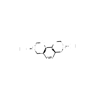 CN1COc2c(ccc3c2OCN(C)C3)C1